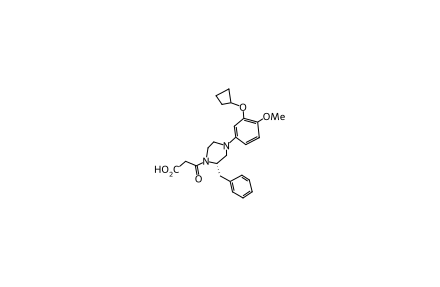 COc1ccc(N2CCN(C(=O)CC(=O)O)[C@@H](Cc3ccccc3)C2)cc1OC1CCC1